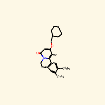 COc1cc2c(cc1OC)-c1c(C)c(OCC3CCCCC3)cc(=O)n1CC2